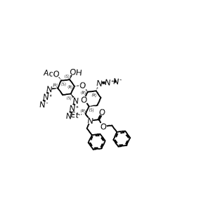 CC[C@H]([C@@H]1CC[C@@H](N=[N+]=[N-])[C@@H](O[C@H]2[C@H](O)[C@@H](OC(C)=O)[C@H](N=[N+]=[N-])C[C@@H]2N=[N+]=[N-])O1)N(Cc1ccccc1)C(=O)OCc1ccccc1